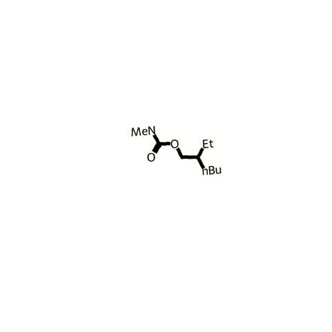 CCCCC(CC)COC(=O)NC